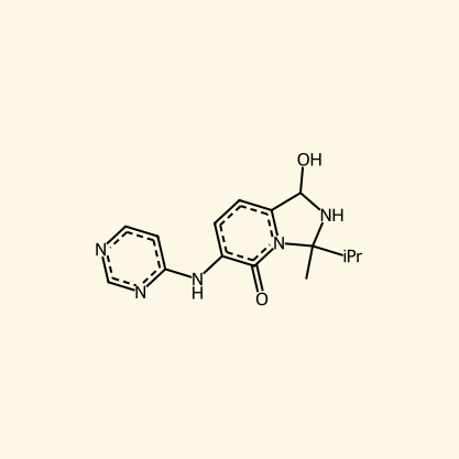 CC(C)C1(C)NC(O)c2ccc(Nc3ccncn3)c(=O)n21